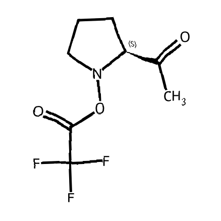 CC(=O)[C@@H]1CCCN1OC(=O)C(F)(F)F